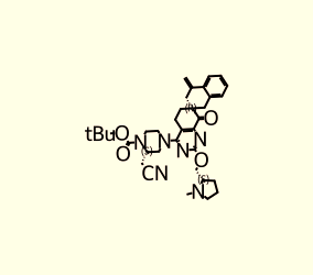 C=C1C[C@]2(CCc3c(nc(OC[C@@H]4CCCN4C)nc3N3CCN(C(=O)OC(C)(C)C)[C@@H](CC#N)C3)C2=O)Cc2ccccc21